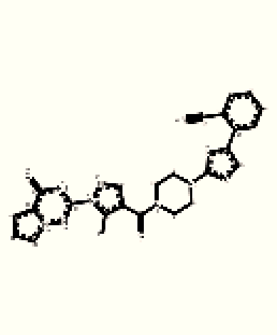 Cc1c(C(=O)N2CCN(c3nc(-c4ccccc4C#N)cs3)CC2)cnn1-c1nn2cccc2c(=O)[nH]1